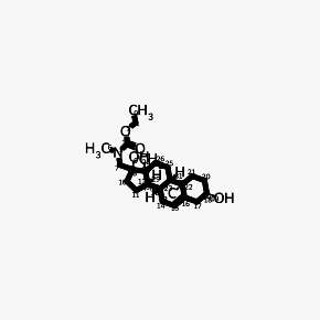 CCOC(=O)N(C)C[C@]1(O)CC[C@H]2[C@@H]3CC=C4C[C@@H](O)CC[C@]4(C)[C@H]3CC[C@@]21C